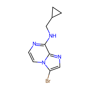 Brc1cnc2c(NCC3CC3)nccn12